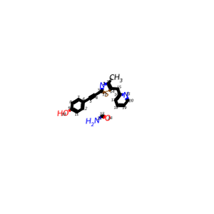 Cc1nc(C#Cc2ccc(O)cc2)sc1Cc1ccccn1.NC=O